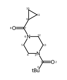 CC(C)(C)C(=O)N1CCN(C(=O)C2CC2)CC1